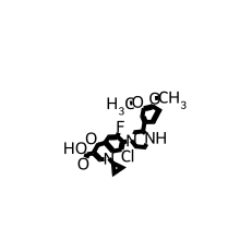 COc1ccc(C2CN(c3c(F)cc4c(=O)c(C(=O)O)cn(C5CC5)c4c3Cl)CCN2)cc1OC